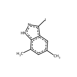 Cc1cc(C)c2[nH]nc(I)c2c1